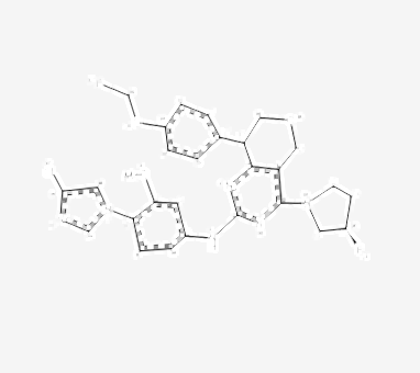 COc1cc(Nc2nc3c(c(N4CC[C@@H](F)C4)n2)COCC3c2ccc(OCF)cc2)ccc1-n1cnc(Cl)c1